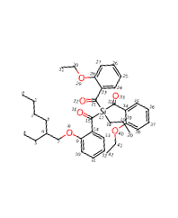 CCCCC(CC)COc1ccccc1C(=O)[Si](CCC)(C(=O)c1ccccc1OCC)C(=O)c1ccccc1OCC